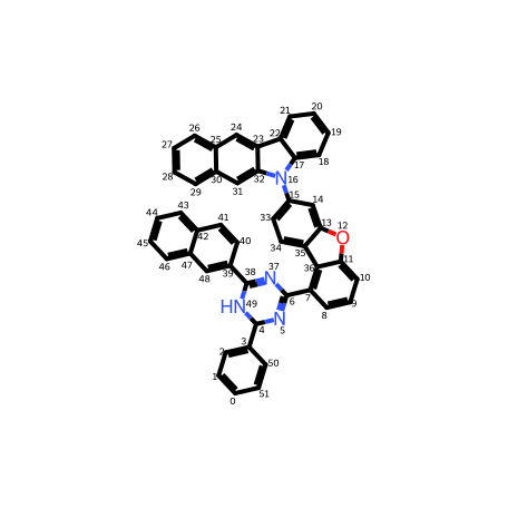 c1ccc(C2N=C(c3cccc4oc5cc(-n6c7ccccc7c7cc8ccccc8cc76)ccc5c34)N=C(c3ccc4ccccc4c3)N2)cc1